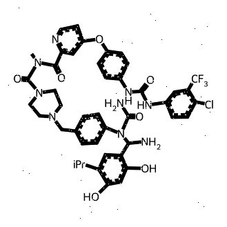 CC(C)c1cc(C(N)N(C(N)=O)c2ccc(CN3CCN(C(=O)N(C)C(=O)c4cc(Oc5ccc(NC(=O)Nc6ccc(Cl)c(C(F)(F)F)c6)cc5)ccn4)CC3)cc2)c(O)cc1O